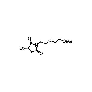 CCC1CC(=O)N(CCOCCOC)C1=O